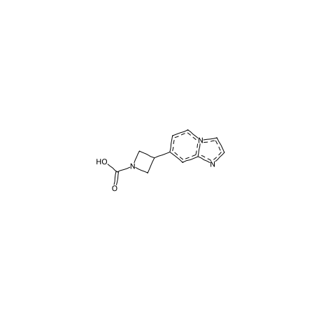 O=C(O)N1CC(c2ccn3ccnc3c2)C1